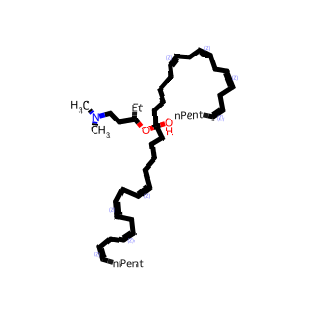 CCCCC/C=C\C/C=C\C/C=C\C/C=C\CCCCC(O)(CCCC/C=C\C/C=C\C/C=C\C/C=C\CCCCC)OC(CC)CCN(C)C